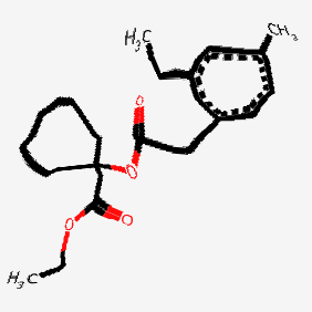 CCOC(=O)C1(OC(=O)Cc2ccc(C)cc2CC)CCCCC1